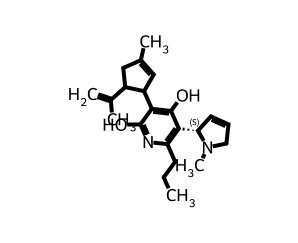 C=C(C)C1CC(C)=CC1c1c(O)nc(CCC)c([C@@H]2C=CCN2C)c1O